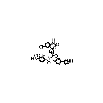 O=C(O)Nc1ccc(C(=O)N[C@@H](Cc2ccc(-c3cc[nH]c3)cc2)C(=O)N2CC[C@@]3(C2)OC(=O)Nc2ccc(Cl)cc23)cc1